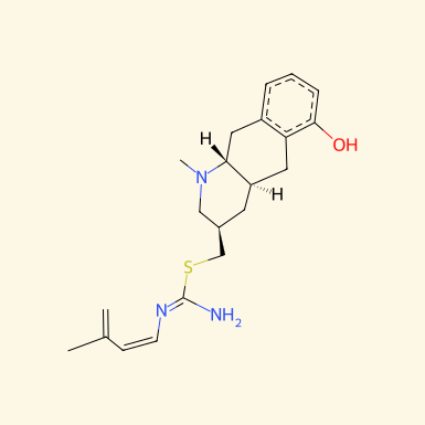 C=C(C)/C=C\N=C(/N)SC[C@@H]1C[C@@H]2Cc3c(O)cccc3C[C@H]2N(C)C1